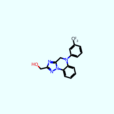 OCc1nc2n(n1)-c1ccccc1N(c1cccc(C(F)(F)F)c1)C2